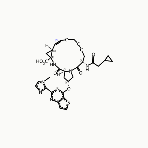 Cn1ccnc1-c1nc(O[C@@H]2C[C@H]3C(=O)N[C@]4(C(=O)O)C[C@H]4/C=C\CCCCC[C@H](NC(=O)CC4CC4)C(=O)N3C2)c2sccc2n1